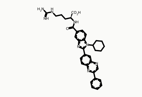 N=C(N)NCCC[C@H](NC(=O)c1ccc2c(c1)nc(-c1ccc3nc(-c4ccccc4)cnc3c1)n2C1CCCCC1)C(=O)O